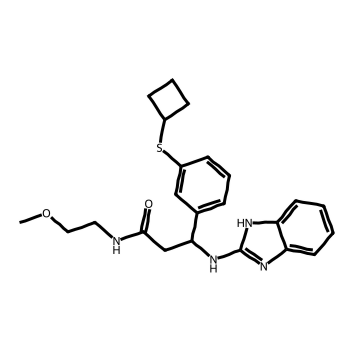 COCCNC(=O)CC(Nc1nc2ccccc2[nH]1)c1cccc(SC2CCC2)c1